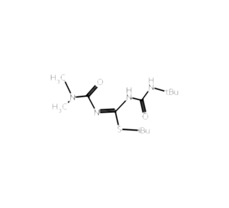 CCC(C)SC(=NC(=O)N(C)C)NC(=O)NC(C)(C)C